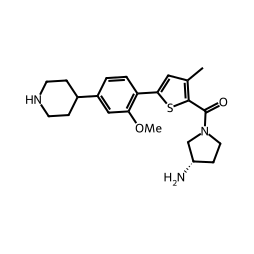 COc1cc(C2CCNCC2)ccc1-c1cc(C)c(C(=O)N2CC[C@H](N)C2)s1